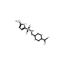 Cc1ccc(S(=O)(=O)NCC2CCC(C(I)I)CC2)s1